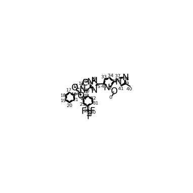 COc1nc(-c2nc3n(n2)CCN(S(=O)(=O)c2ccccc2)[C@H]3c2ccc(C(F)(F)F)cc2)ccc1-n1cnc(C)c1